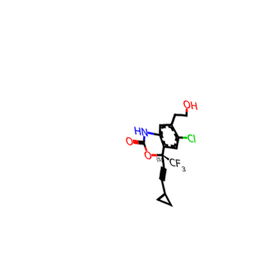 O=C1Nc2cc(CCO)c(Cl)cc2[C@@](C#CC2CC2)(C(F)(F)F)O1